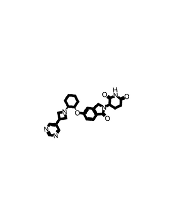 O=C1CCC(N2Cc3cc(O[C@H]4CCCC[C@@H]4N4CC(c5cncnc5)C4)ccc3C2=O)C(=O)N1